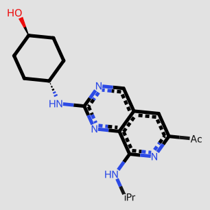 CC(=O)c1cc2cnc(N[C@H]3CC[C@H](O)CC3)nc2c(NC(C)C)n1